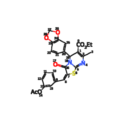 CCOC(=O)C1=C(C)N=c2sc(=Cc3cccc(OC(C)=O)c3)c(=O)n2C1c1ccc2c(c1)OCO2